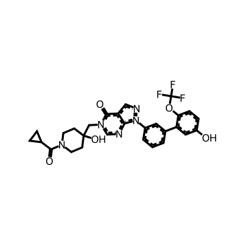 O=C(C1CC1)N1CCC(O)(Cn2cnc3c(cnn3-c3cccc(-c4cc(O)ccc4OC(F)(F)F)c3)c2=O)CC1